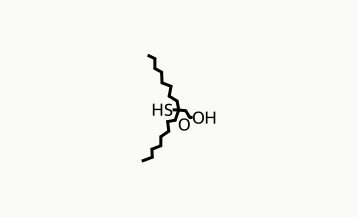 CCCCCCCCC(S)(CCCCCCCC)CC(=O)O